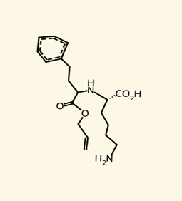 C=CCOC(=O)C(CCc1ccccc1)N[C@@H](CCCCN)C(=O)O